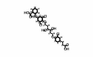 O=C(O)CCc1ccc(OCCC(O)C(O)CCOc2c(Cl)cc(Nc3ccccc3C(=O)O)cc2Cl)c(Cl)c1